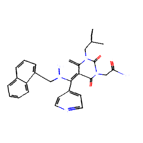 C=c1/c(=C(/c2ccncc2)N(N)Cc2cccc3ccccc23)c(=O)n(CC(N)=O)c(=O)n1CC(C)C